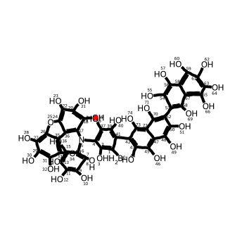 Bc1c(O)c(N(c2c(O)c(O)c(O)c(O)c2O)c2c(O)c(O)c(O)c3oc4c(O)c(O)c(O)c(O)c4c23)c(O)c(O)c1-c1c(O)c(O)c2c(O)c(O)c(-c3c(O)c(O)c4c(O)c(O)c(O)c(O)c4c3O)c(O)c2c1O